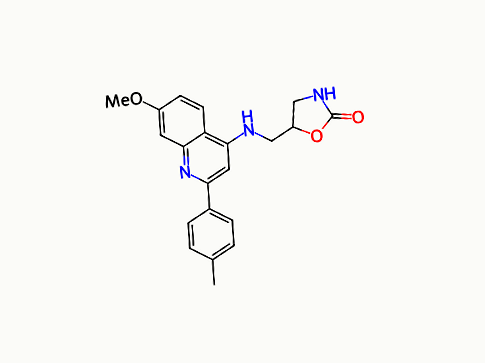 COc1ccc2c(NCC3CNC(=O)O3)cc(-c3ccc(C)cc3)nc2c1